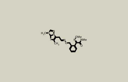 CNC(=O)C(=NOC)c1ccccc1CON=CCC1=C(C)SC2N(C)C=NN12